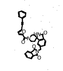 O=C1NC2(CCN(C(=O)c3ccc(C#Cc4ccccc4)o3)CC2)c2cc(CN3C(=O)c4ccccc4C3=O)ccc21